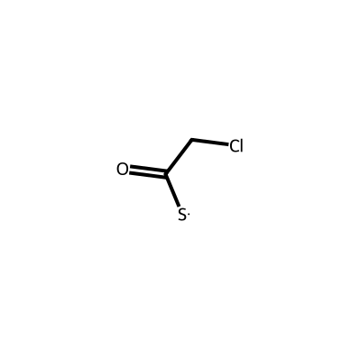 O=C([S])CCl